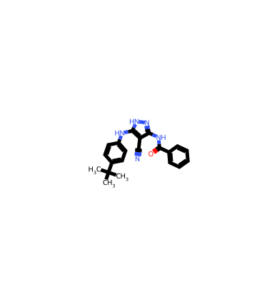 CC(C)(C)c1ccc(Nc2[nH]nc(NC(=O)c3ccccc3)c2C#N)cc1